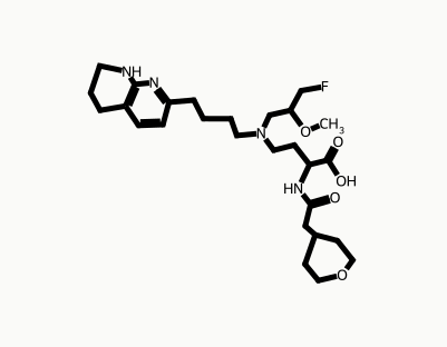 COC(CF)CN(CCCCc1ccc2c(n1)NCCC2)CCC(NC(=O)CC1CCOCC1)C(=O)O